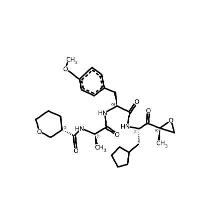 COc1ccc(C[C@H](NC(=O)[C@@H](C)NC(=O)[C@H]2CCCOC2)C(=O)N[C@@H](CC2CCCC2)C(=O)[C@@]2(C)CO2)cc1